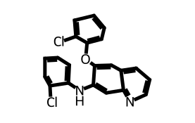 Clc1ccccc1Nc1cc2ncccc2cc1Oc1ccccc1Cl